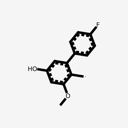 [CH2]c1c(OC)cc(O)cc1-c1ccc(F)cc1